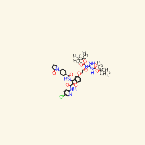 CC(C)(C)OC(=O)NC(=N)N(OCCOc1ccc2oc(C(=O)Nc3ccc(Cl)cn3)c(NC(=O)[C@H]3CC[C@H](N4CCCC4=O)CC3)c2c1)C(=O)OC(C)(C)C